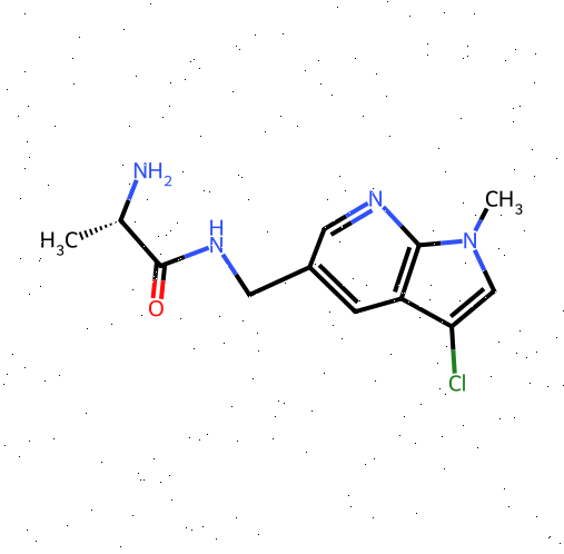 C[C@H](N)C(=O)NCc1cnc2c(c1)c(Cl)cn2C